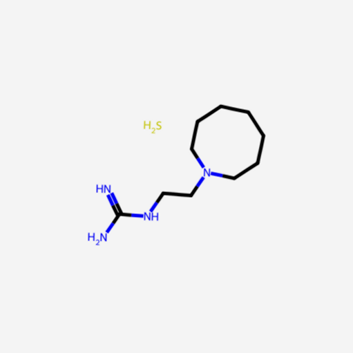 N=C(N)NCCN1CCCCCCC1.S